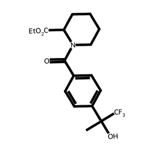 CCOC(=O)C1CCCCN1C(=O)c1ccc(C(C)(O)C(F)(F)F)cc1